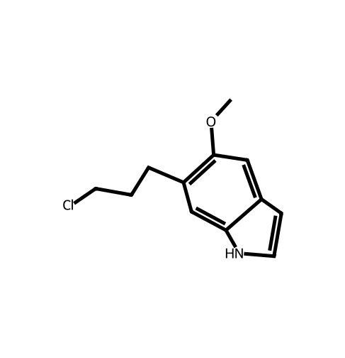 COc1cc2cc[nH]c2cc1CCCCl